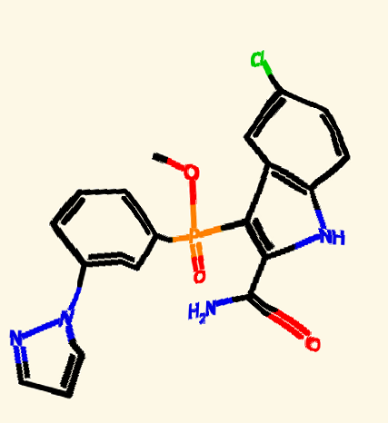 COP(=O)(c1cccc(-n2cccn2)c1)c1c(C(N)=O)[nH]c2ccc(Cl)cc12